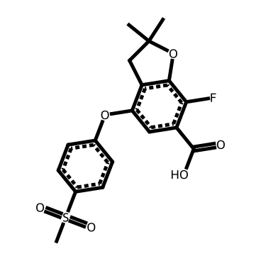 CC1(C)Cc2c(Oc3ccc(S(C)(=O)=O)cc3)cc(C(=O)O)c(F)c2O1